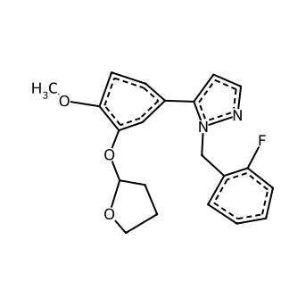 COc1ccc(-c2ccnn2Cc2ccccc2F)cc1OC1CCCO1